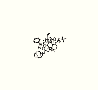 C=C[C@@]1(C)CC(=O)[C@]2(O)[C@@]3(C)[C@@H](O[Si](C)(C)C(C)(C)C)CCC(C)(C)[C@@H]3[C@H](OC(=O)CN3CCOCC3)[C@H](OC(=O)Nc3ccccc3)[C@@]2(C)O1